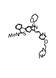 CNC(=S)c1ccccc1-c1ccc2c(/C=C/c3ccc(OCCN4CCN(C)CC4)cn3)nn(C3CCCCO3)c2c1